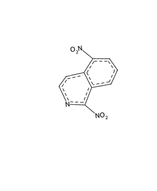 O=[N+]([O-])c1cccc2c([N+](=O)[O-])nccc12